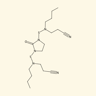 CCCCN(CCC#N)SN1CCN(SN(CCC#N)CCCC)C1=O